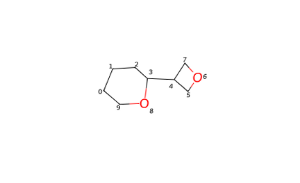 C1CCC(C2COC2)OC1